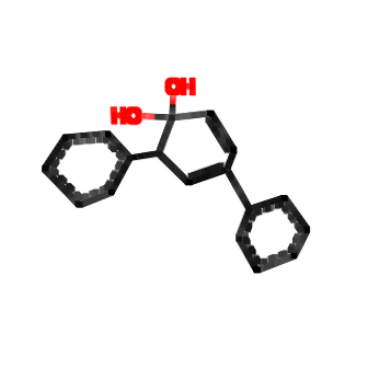 OC1(O)C=CC(c2ccccc2)=CC1c1ccccc1